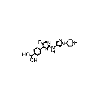 CN1CCC(n2cc(Nc3ncc(F)c(-c4ccc(C(O)O)cc4)n3)cn2)CC1